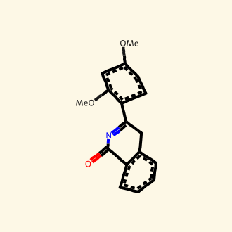 COc1ccc(C2=NC(=O)c3ccccc3C2)c(OC)c1